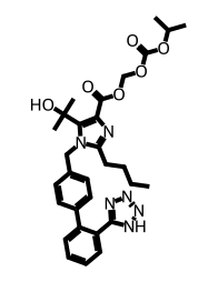 CCCCc1nc(C(=O)OCOC(=O)OC(C)C)c(C(C)(C)O)n1Cc1ccc(-c2ccccc2-c2nnn[nH]2)cc1